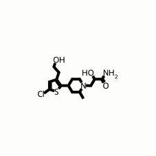 CC1CC(c2sc(Cl)cc2CCO)CCN1CC(O)C(N)=O